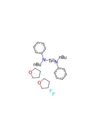 C1CCOC1.C1CCOC1.CCCC[N]([Ti+2][N](CCCC)c1ccccc1)c1ccccc1.[F-].[F-]